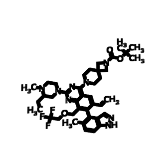 C=Cc1cc2c(N3CCC4(CC3)CN(C(=O)OC(C)(C)C)C4)nc(N3CCN(C)C(CC)C3)nc2c(COCC(F)(F)F)c1-c1c(C)ccc2[nH]ncc12